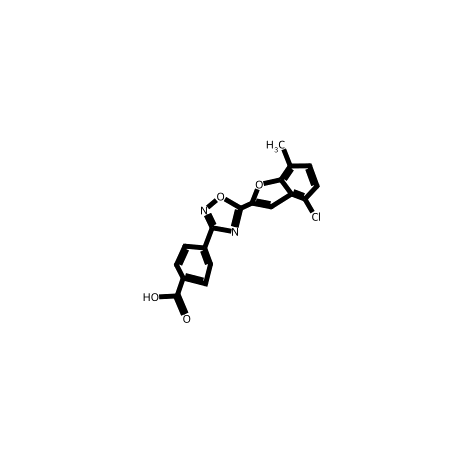 Cc1ccc(Cl)c2cc(-c3nc(-c4ccc(C(=O)O)cc4)no3)oc12